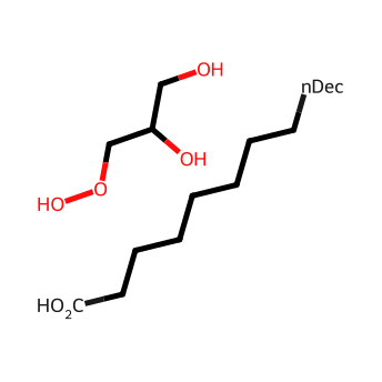 CCCCCCCCCCCCCCCCCC(=O)O.OCC(O)COO